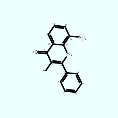 Cc1c(-c2ccccc2)oc2c(N)cccc2c1=O